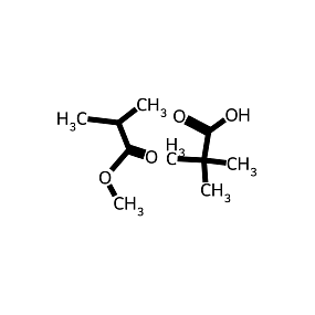 CC(C)(C)C(=O)O.COC(=O)C(C)C